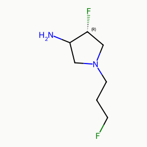 NC1CN(CCCF)C[C@H]1F